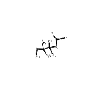 CCC(C)(C)C(C)(C)OC(F)F